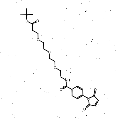 CC(C)(C)OC(=O)CCOCCOCCOCCNC(=O)c1ccc(N2C(=O)C=CC2=O)cc1